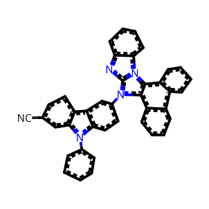 N#Cc1ccc2c3cc(-n4c5c6ccccc6c6ccccc6c5n5c6ccccc6nc45)ccc3n(-c3ccccc3)c2c1